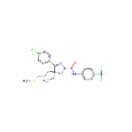 CCC1(CCCSC)CN(C(=O)Nc2ccc(C(F)(F)F)cc2)N=C1c1ccc(Cl)cc1